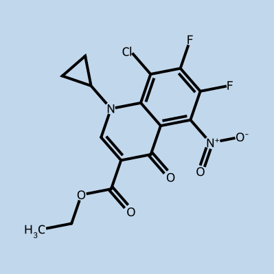 CCOC(=O)c1cn(C2CC2)c2c(Cl)c(F)c(F)c([N+](=O)[O-])c2c1=O